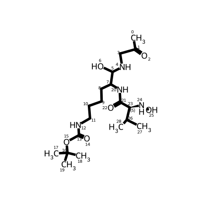 CC(=O)CNC(O)C(CCCCNC(=O)OC(C)(C)C)NC(=O)[C@@H](NO)C(C)C